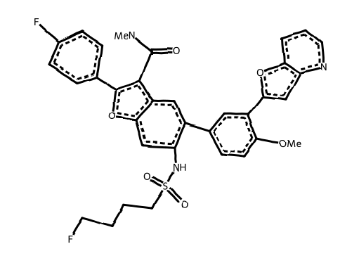 CNC(=O)c1c(-c2ccc(F)cc2)oc2cc(NS(=O)(=O)CCCCF)c(-c3ccc(OC)c(-c4cc5ncccc5o4)c3)cc12